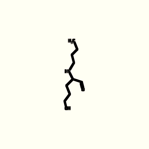 CCCCNC(C=O)CCCO